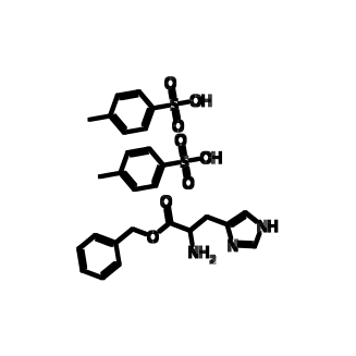 Cc1ccc(S(=O)(=O)O)cc1.Cc1ccc(S(=O)(=O)O)cc1.NC(Cc1c[nH]cn1)C(=O)OCc1ccccc1